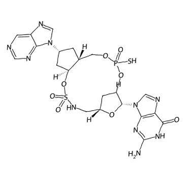 Nc1nc2c(ncn2[C@@H]2O[C@@H]3CNS(=O)(=O)O[C@H]4C[C@H](n5cnc6cncnc65)C[C@@H]4COP(=O)(S)O[C@@H]2C3)c(=O)[nH]1